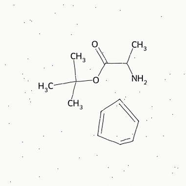 CC(N)C(=O)OC(C)(C)C.c1ccccc1